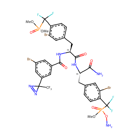 COP(=O)(OC)C(F)(F)c1ccc(C[C@H](NC(=O)c2cc(Br)cc(C3(C(F)(F)F)N=N3)c2)C(=O)N[C@@H](Cc2ccc(C(F)(F)P(=O)(OC)ON)c(Br)c2)C(N)=O)cc1Br